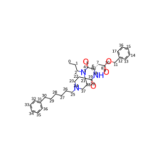 CCCN1C(=O)[C@H](CC(=O)OCc2ccccc2)NC(=O)C12CCN(CCCCCCc1ccccc1)CC2